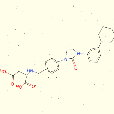 O=C(O)CC(NCc1ccc(N2CCN(c3cccc(C4CCCCC4)c3)C2=O)cc1)C(=O)O